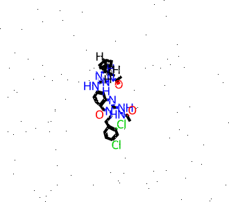 CC(=O)NN/C(=N\C1C[C@@H]2C[C@H]([C@@H]1C)C2(C)C)Nc1ccc2c(=O)n(CCc3ccc(Cl)cc3Cl)c(NNC(C)=O)nc2c1